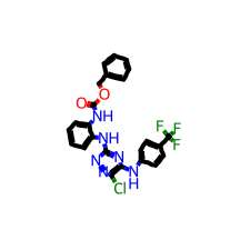 O=C(Nc1ccccc1Nc1nnc(Cl)c(Nc2ccc(C(F)(F)F)cc2)n1)OCc1ccccc1